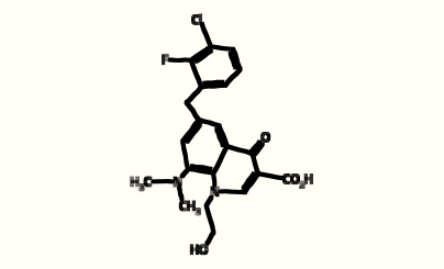 CN(C)c1cc(Cc2cccc(Cl)c2F)cc2c(=O)c(C(=O)O)cn(CCO)c12